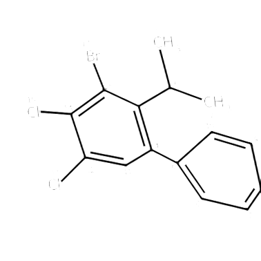 CC(C)c1c(-c2ccccc2)cc(Cl)c(Cl)c1Br